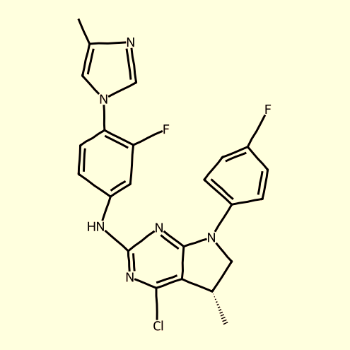 Cc1cn(-c2ccc(Nc3nc(Cl)c4c(n3)N(c3ccc(F)cc3)C[C@@H]4C)cc2F)cn1